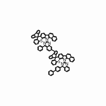 c1ccc(-c2ccc(-c3nc(-n4c5c6c(ccc5c5ccc7ccccc7c54)C4(c5ccccc5S6)c5ccccc5-c5c(-c6ccc7c(-c8ccccc8)nc(-n8c9c%10c(ccc9c9ccc%11ccccc%11c98)C8(c9ccccc9S%10)c9ccccc9-c9ccccc98)nc7c6)cccc54)nc4ccccc34)cc2)cc1